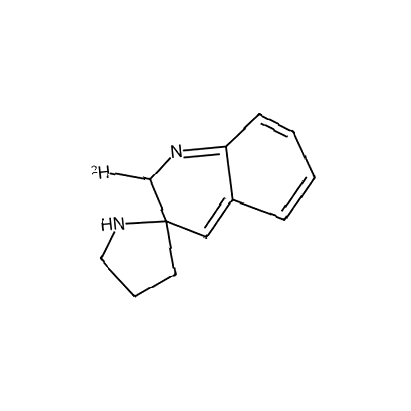 [2H]C1N=c2ccccc2=CC12CCCN2